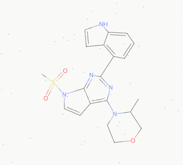 CC1COCCN1c1nc(-c2cccc3[nH]ccc23)nc2c1ccn2S(C)(=O)=O